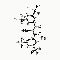 N#C/C(C(=O)c1cc(C(F)(F)F)cc(C(F)(F)F)c1)=C(/[O][Fe])c1cc(C(F)(F)F)cc(C(F)(F)F)c1